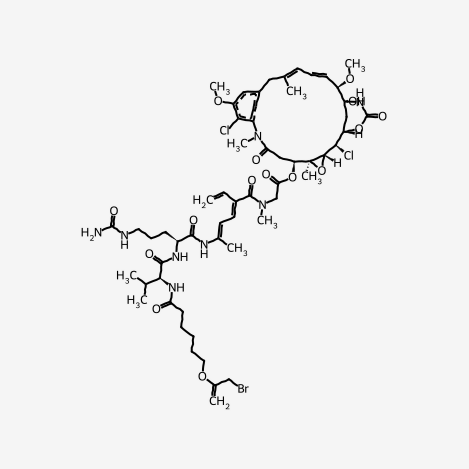 C=C/C(=C\C=C(/C)NC(=O)[C@H](CCCNC(N)=O)NC(=O)[C@@H](NC(=O)CCCCCOC(=C)CBr)C(C)C)C(=O)N(C)CC(=O)O[C@H]1CC(=O)N(C)c2cc(cc(OC)c2Cl)C/C(C)=C/C=C/[C@@H](OC)[C@@]2(O)C[C@H](OC(=O)N2)[C@@H](Cl)[C@@H]2O[C@@]12C